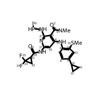 CNC(=O)c1c(Nc2ccc(C3CC3)cc2SC)cc(NC(=O)C2CC2(F)F)nc1NPI